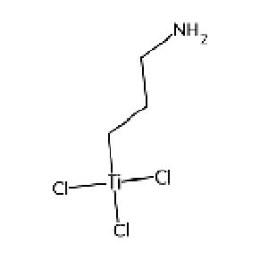 NCC[CH2][Ti]([Cl])([Cl])[Cl]